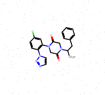 O=C(O)C(Cc1ccccc1)N1CC(=O)N(c2cc(Cl)ccc2-n2ccnn2)CC1=O